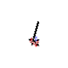 CCCCCCCCCCCCCC[C@@H](OC(C)=O)[C@@H](OC(C)=O)[C@H](COC(C)=O)NC(C)=O